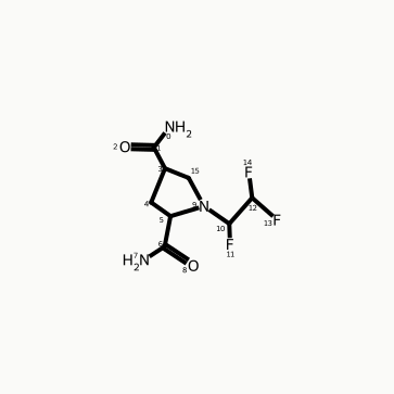 NC(=O)C1CC(C(N)=O)N(C(F)C(F)F)C1